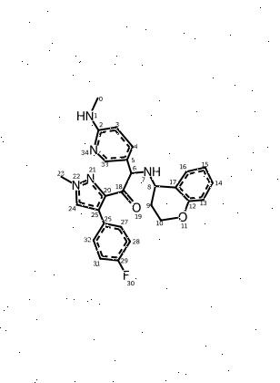 CNc1ccc(C(NC2CCOc3ccccc32)C(=O)c2nn(C)cc2-c2ccc(F)cc2)cn1